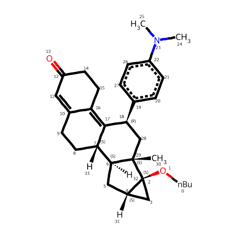 CCCCO[C@@]12C[C@@H]1C[C@H]1[C@@H]3CCC4=CC(=O)CCC4=C3[C@@H](c3ccc(N(C)C)cc3)C[C@@]12C